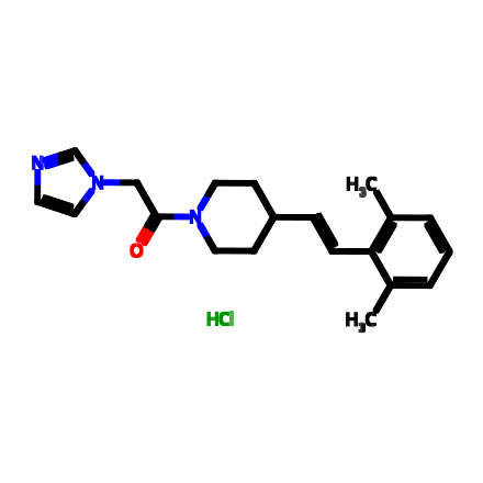 Cc1cccc(C)c1/C=C/C1CCN(C(=O)Cn2ccnc2)CC1.Cl